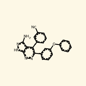 N#Cc1cccc(-c2c(-c3cccc(Oc4ccccc4)c3)nnc3[nH]nc(N)c23)c1